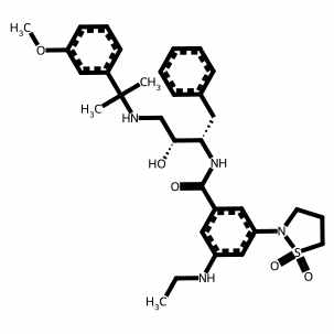 CCNc1cc(C(=O)N[C@@H](Cc2ccccc2)[C@H](O)CNC(C)(C)c2cccc(OC)c2)cc(N2CCCS2(=O)=O)c1